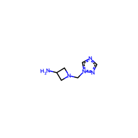 NC1CN(Cn2cncn2)C1